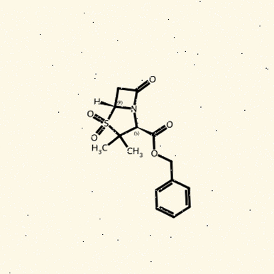 CC1(C)[C@H](C(=O)OCc2ccccc2)N2C(=O)C[C@H]2S1(=O)=O